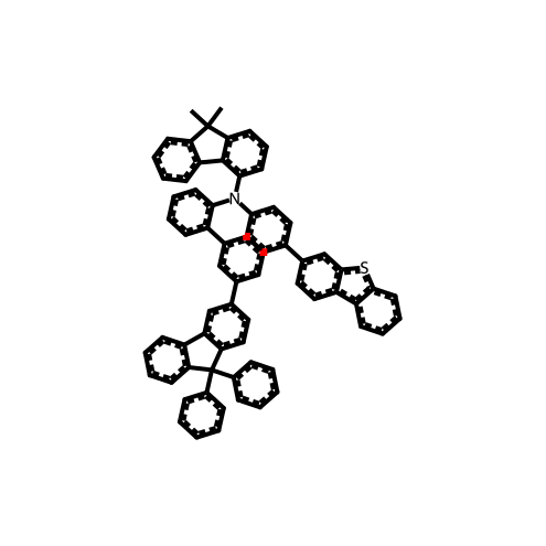 CC1(C)c2ccccc2-c2c(N(c3ccc(-c4ccc5c(c4)sc4ccccc45)cc3)c3ccccc3-c3cccc(-c4ccc5c(c4)-c4ccccc4C5(c4ccccc4)c4ccccc4)c3)cccc21